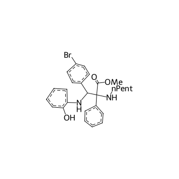 CCCCCNC(C(=O)OC)(c1ccccc1)C(Nc1ccccc1O)c1ccc(Br)cc1